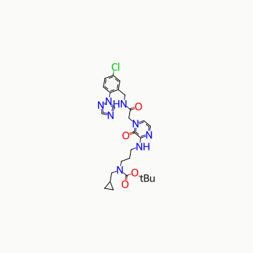 CC(C)(C)OC(=O)N(CCCNc1nccn(CC(=O)NCc2cc(Cl)ccc2-n2cncn2)c1=O)CC1CC1